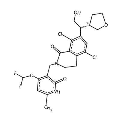 Cc1cc(OC(F)F)c(CN2CCc3c(Cl)cc(C(CO)[C@@H]4CCOC4)c(Cl)c3C2=O)c(=O)[nH]1